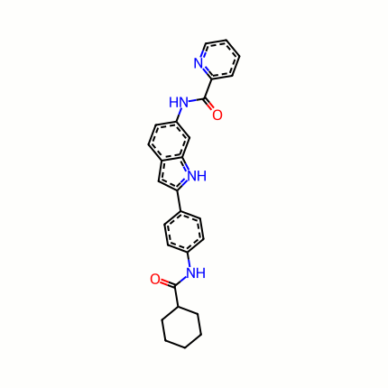 O=C(Nc1ccc2cc(-c3ccc(NC(=O)C4CCCCC4)cc3)[nH]c2c1)c1ccccn1